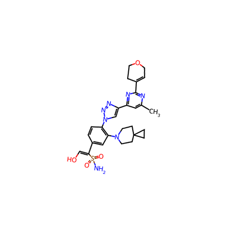 Cc1cc(-c2cn(-c3ccc(C(=CO)S(N)(=O)=O)cc3N3CCC4(CC3)CC4)nn2)nc(C2=CCOCC2)n1